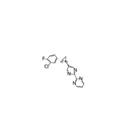 Fc1ccc([C@@H]2C[C@H]2c2cnc(-c3ncccn3)nc2)cc1Cl